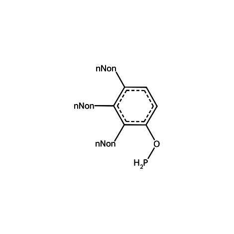 CCCCCCCCCc1ccc(OP)c(CCCCCCCCC)c1CCCCCCCCC